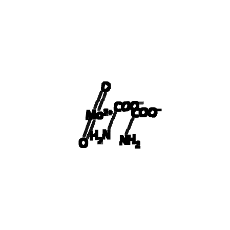 NC(=O)[O-].NC(=O)[O-].[O]=[Mo+2]=[O]